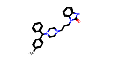 Cc1ccc(C(c2ccccc2)N2CCN(CCCn3c(=O)[nH]c4ccccc43)CC2)cc1